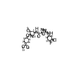 COc1cc(NC(=O)c2nnc(Nc3ccc(F)c(Cl)c3)o2)cnc1O[C@H]1CC[C@@H](C(=O)OC)CC1